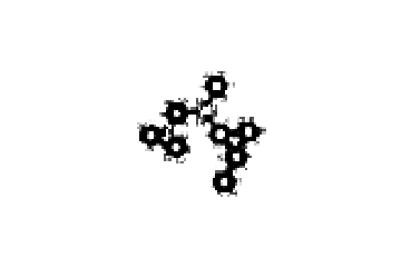 c1ccc(-c2ccc3c4ccccc4c4cc(-c5nc(-c6ccccc6)nc(-c6cccc(-n7c8ccccc8c8ccccc87)c6)n5)ccc4c3c2)cc1